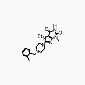 CCn1c(N2CCN(Cc3ccccc3C)CC2)nc2c1c(=O)[nH]c(=O)n2C